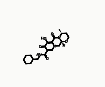 C[C@@H]1CCO[C@H]2Cn3cc(C(=O)NCC4CCCCC4)c(=O)c(O)c3C(=O)N12